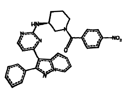 O=C(c1ccc([N+](=O)[O-])cc1)N1CCC[C@H](Nc2nccc(-c3c(-c4ccccc4)nn4ccccc34)n2)C1